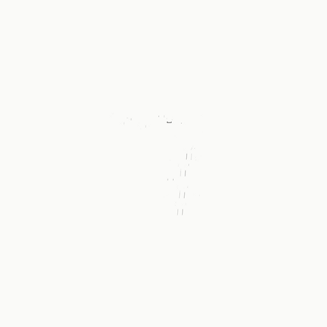 [Ca+2].[O]=[GeH][O-].[O]=[GeH][O-].[O]=[GeH][O-].[O]=[GeH][O-].[O]=[GeH][O-].[O]=[GeH][O-].[Ti+4]